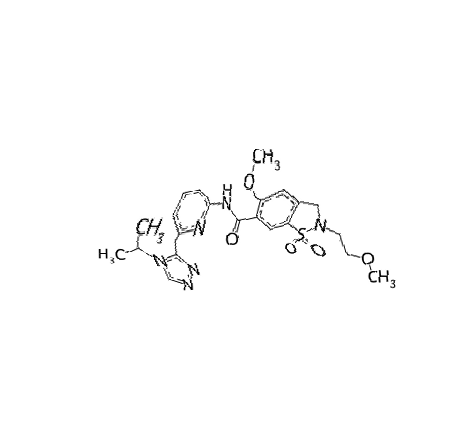 COCCN1Cc2cc(OC)c(C(=O)Nc3cccc(-c4nncn4C(C)C)n3)cc2S1(=O)=O